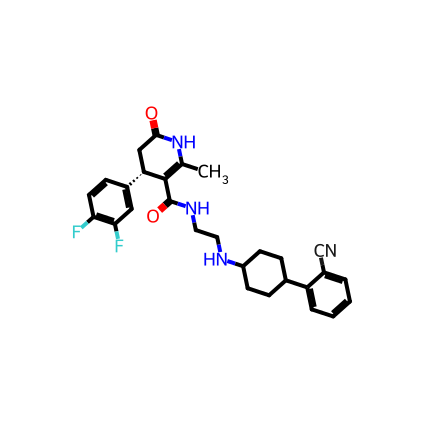 CC1=C(C(=O)NCCNC2CCC(c3ccccc3C#N)CC2)[C@H](c2ccc(F)c(F)c2)CC(=O)N1